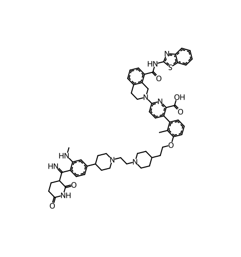 CNc1cc(C2CCN(CCN3CCC(CCOc4cccc(-c5ccc(N6CCc7cccc(C(=O)Nc8nc9ccccc9s8)c7C6)nc5C(=O)O)c4C)CC3)CC2)ccc1C(=N)C1CCC(=O)NC1=O